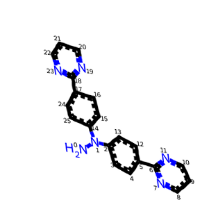 NN(c1ccc(-c2ncccn2)cc1)c1ccc(-c2ncccn2)cc1